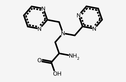 NC(CN(Cc1ncccn1)Cc1ncccn1)C(=O)O